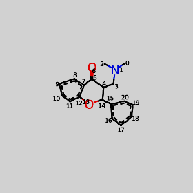 CN(C)CC1C(=O)c2ccccc2OC1c1ccccc1